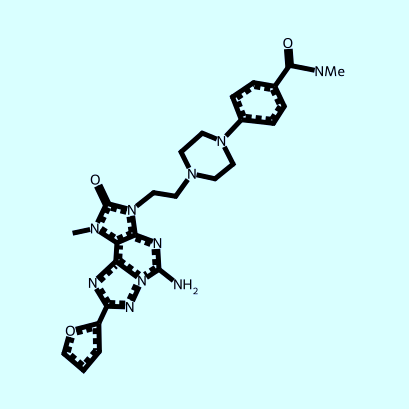 CNC(=O)c1ccc(N2CCN(CCn3c(=O)n(C)c4c3nc(N)n3nc(-c5ccco5)nc43)CC2)cc1